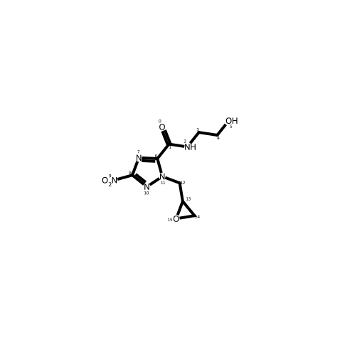 O=C(NCCO)c1nc([N+](=O)[O-])nn1CC1CO1